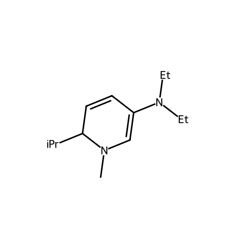 CCN(CC)C1=CN(C)C(C(C)C)C=C1